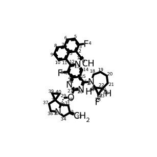 C#Cc1c(F)ccc2cccc(-c3ncc4c(N5CCCC[C@H]6[C@H](F)[C@H]65)nc(OC[C@]56CC(=C)CN5CCC65CC5)nc4c3F)c12